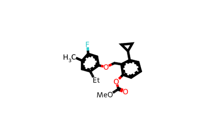 CCc1cc(C)c(F)cc1OCc1c(OC(=O)OC)cccc1C1CC1